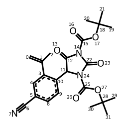 C=C(C)c1cc(C#N)ccc1C1C(=O)N(C(=O)OC(C)(C)C)C(=O)N1C(=O)OC(C)(C)C